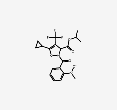 CC(C)OC(=O)C1C(C(F)(F)F)=C(C2CC2)ON1C(=O)c1ccccc1[S+](C)[O-]